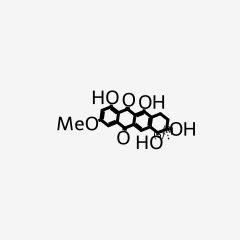 COc1cc(O)c2c(c1)C(=O)c1cc3c(c(O)c1C2=O)CC[C@@](C)(O)[C@H]3O